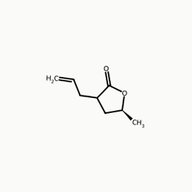 C=CCC1C[C@H](C)OC1=O